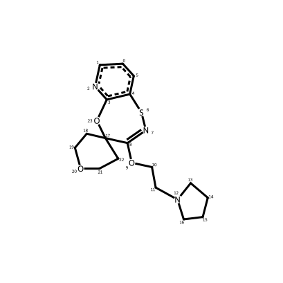 c1cnc2c(c1)SN=C(OCCN1CCCC1)C1(CCOCC1)O2